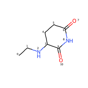 CCNC1CCC(=O)NC1=O